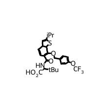 CC(C)C1=CC2C=CC(C(=O)N[C@H](C(=O)O)C(C)(C)C)=C(OCc3ccc(OC(F)(F)F)cc3)C2S1